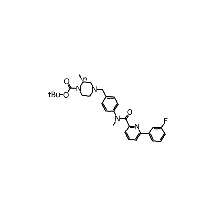 C[C@H]1CN(Cc2ccc(N(C)C(=O)c3cccc(-c4cccc(F)c4)n3)cc2)CCN1C(=O)OC(C)(C)C